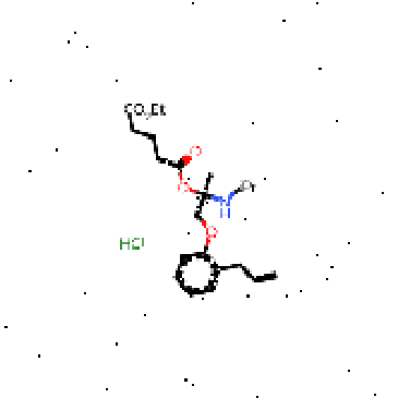 C=CCc1ccccc1OCC(C)(NC(C)C)OC(=O)CCCC(=O)OCC.Cl